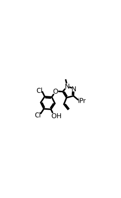 C=Cc1c(C(C)C)nn(C)c1Oc1cc(O)c(Cl)cc1Cl